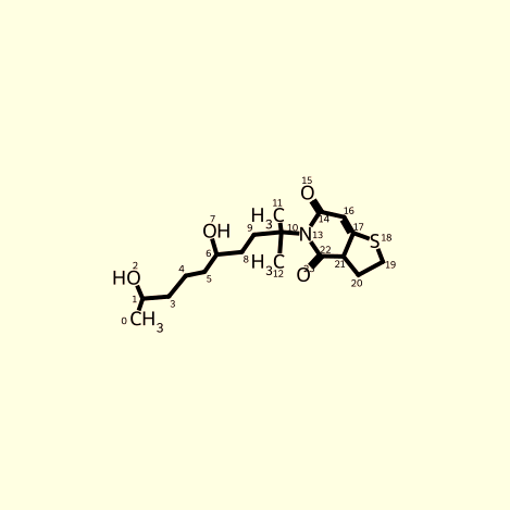 CC(O)CCCC(O)CCC(C)(C)N1C(=O)C=C2SCCC2C1=O